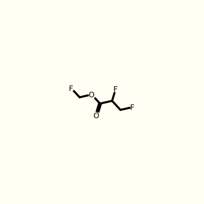 O=C(OCF)C(F)CF